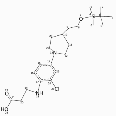 CC(C)(C)[Si](C)(C)OCCC1CCN(c2ccc(NCCC(=O)O)c(Cl)c2)CC1